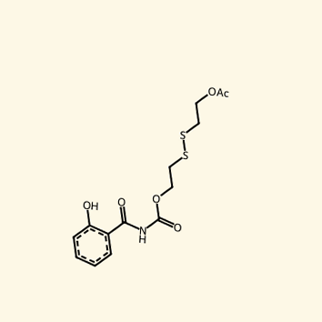 CC(=O)OCCSSCCOC(=O)NC(=O)c1ccccc1O